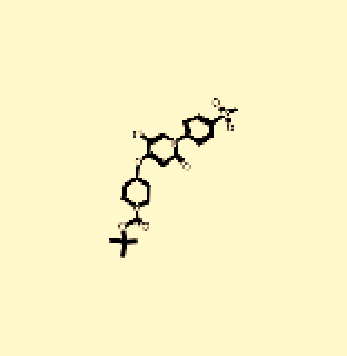 CC(C)(C)OC(=O)N1CCC(Oc2cc(=O)n(-c3ccc(S(C)(=O)=O)cc3)cc2Cl)CC1